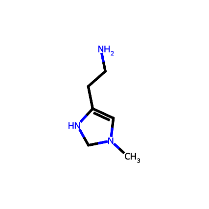 CN1C=C(CCN)NC1